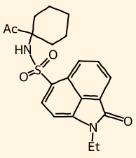 CCN1C(=O)c2cccc3c(S(=O)(=O)NC4(C(C)=O)CCCCC4)ccc1c23